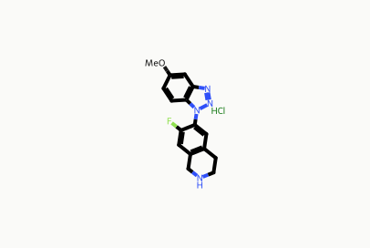 COc1ccc2c(c1)nnn2-c1cc2c(cc1F)CNCC2.Cl